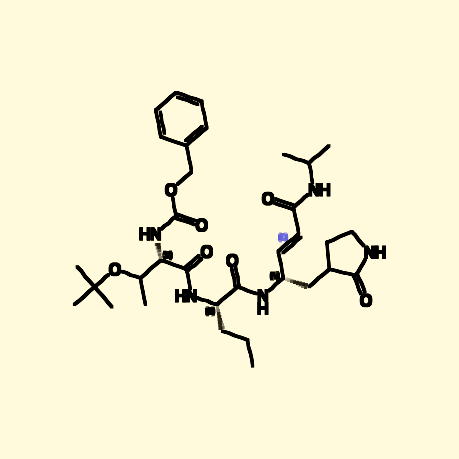 CCC[C@H](NC(=O)[C@@H](NC(=O)OCc1ccccc1)C(C)OC(C)(C)C)C(=O)N[C@H](/C=C/C(=O)NC(C)C)CC1CCNC1=O